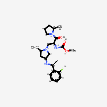 C[C@H](NC1CC(C=O)N(CC(NC(=O)OC(C)(C)C)C(=O)N2CCCC2C#N)C1)c1ccccc1F